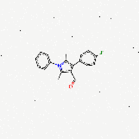 Cc1c(C=O)c(-c2ccc(F)cc2)c(C)n1-c1ccccc1